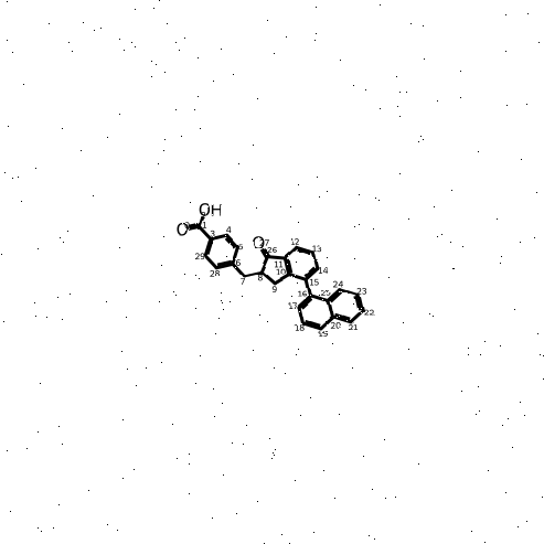 O=C(O)c1ccc(CC2Cc3c(cccc3-c3cccc4ccccc34)C2=O)cc1